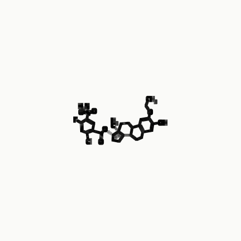 CCOc1cc2c(cc1O)CCC1C2CC[C@@]2(C)C1CC[C@@H]2OC(=O)c1cc(S(N)(=O)=O)c(F)cc1Cl